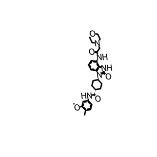 COc1cc(NC(=O)[C@H]2CC[C@@H](n3c(=O)[nH]c4c(NC(=O)CN5CCOCC5)cccc43)CC2)ccc1C